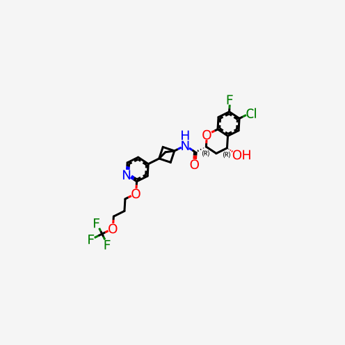 O=C(NC12CC(c3ccnc(OCCCOC(F)(F)F)c3)(C1)C2)[C@H]1C[C@@H](O)c2cc(Cl)c(F)cc2O1